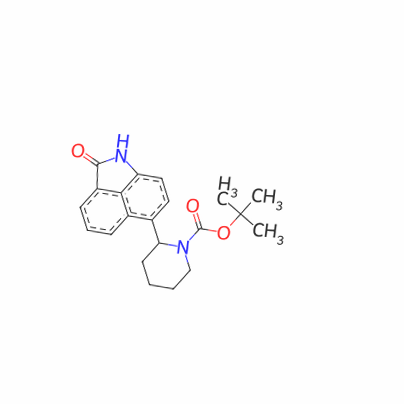 CC(C)(C)OC(=O)N1CCCCC1c1ccc2c3c(cccc13)C(=O)N2